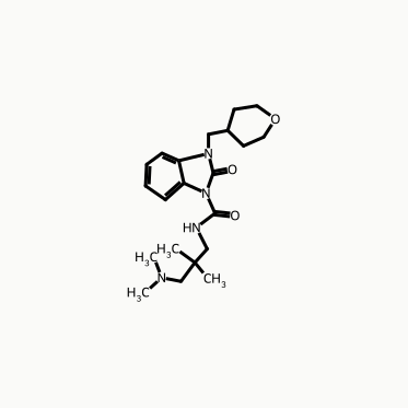 CN(C)CC(C)(C)CNC(=O)n1c(=O)n(CC2CCOCC2)c2ccccc21